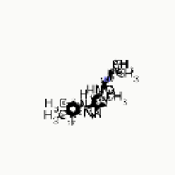 Cc1cc(Nc2ncnc3c2=CC(NC(=O)/C=C/CN(C)C)N(C)C=3)cc(I)c1C